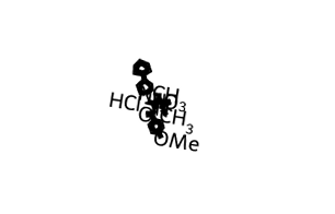 COc1ccc(C(=O)c2c(CN3CCC(c4ccccc4)CC3)n(C)c(=O)n2C)cc1.Cl